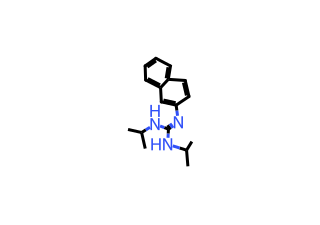 CC(C)NC(=Nc1ccc2ccccc2c1)NC(C)C